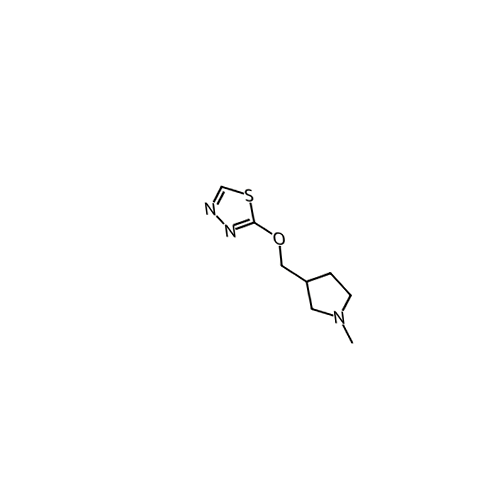 CN1CCC(COc2nncs2)C1